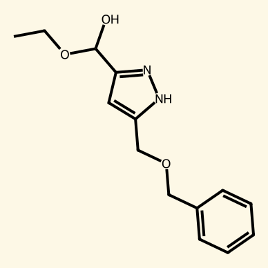 CCOC(O)c1cc(COCc2ccccc2)[nH]n1